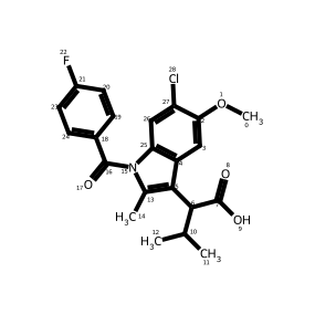 COc1cc2c(C(C(=O)O)C(C)C)c(C)n(C(=O)c3ccc(F)cc3)c2cc1Cl